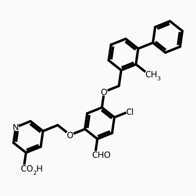 Cc1c(COc2cc(OCc3cncc(C(=O)O)c3)c(C=O)cc2Cl)cccc1-c1ccccc1